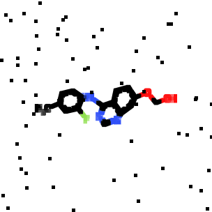 Cc1ccc(Nc2ncnc3cc(OCO)ccc23)c(F)c1